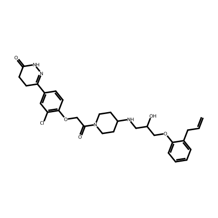 C=CCc1ccccc1OCC(O)CNC1CCN(C(=O)COc2ccc(C3=NNC(=O)CC3)cc2Cl)CC1